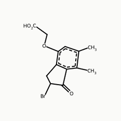 Cc1cc(OCC(=O)O)c2c(c1C)C(=O)C(Br)C2